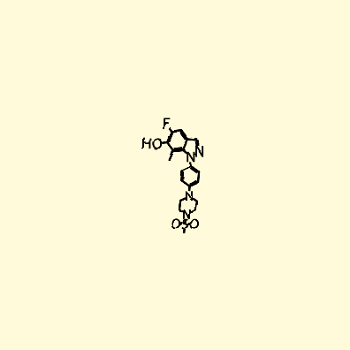 Cc1c(O)c(F)cc2cnn(-c3ccc(N4CCN(S(C)(=O)=O)CC4)cc3)c12